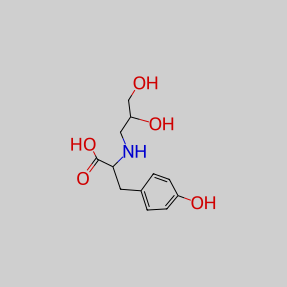 O=C(O)C(Cc1ccc(O)cc1)NCC(O)CO